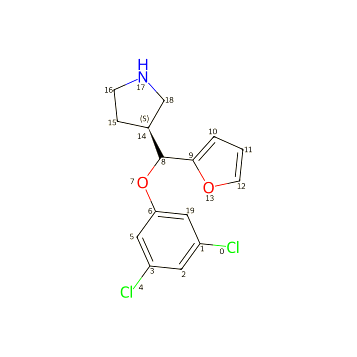 Clc1cc(Cl)cc(OC(c2ccco2)[C@H]2CCNC2)c1